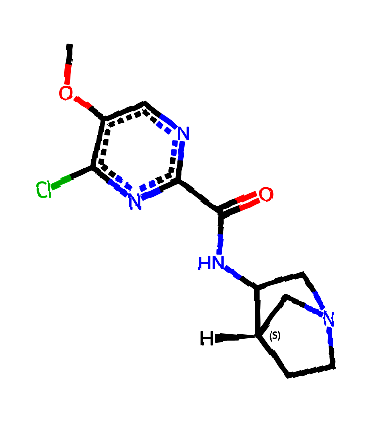 COc1cnc(C(=O)NC2CN3CC[C@H]2C3)nc1Cl